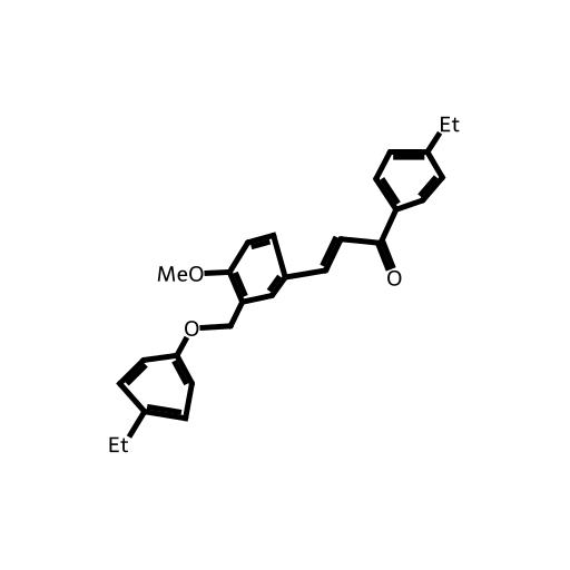 CCc1ccc(OCc2cc(/C=C/C(=O)c3ccc(CC)cc3)ccc2OC)cc1